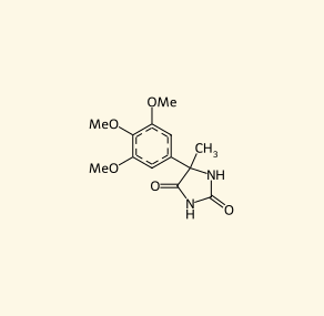 COc1cc(C2(C)NC(=O)NC2=O)cc(OC)c1OC